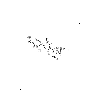 CCOc1ccc(-c2cc3c(cc2F)[C@H](OC(N)=O)C(C)(C)C3)c(Cl)c1